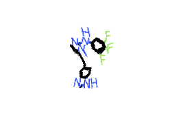 Fc1cc(Nc2nccc(-c3ccc4[nH]cnc4c3)n2)cc(F)c1F